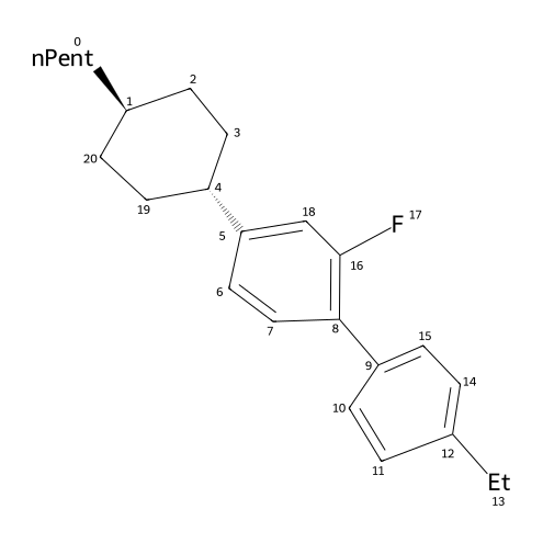 CCCCC[C@H]1CC[C@H](c2ccc(-c3ccc(CC)cc3)c(F)c2)CC1